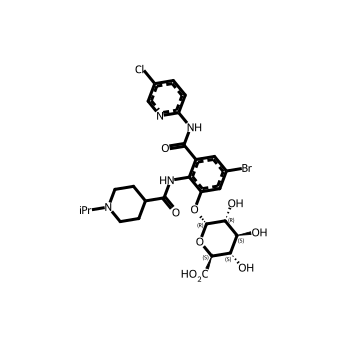 CC(C)N1CCC(C(=O)Nc2c(O[C@H]3O[C@H](C(=O)O)[C@@H](O)[C@H](O)[C@H]3O)cc(Br)cc2C(=O)Nc2ccc(Cl)cn2)CC1